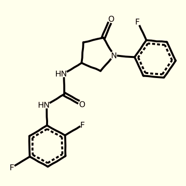 O=C(Nc1cc(F)ccc1F)NC1CC(=O)N(c2ccccc2F)C1